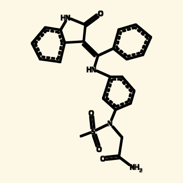 CS(=O)(=O)N(CC(N)=O)c1cccc(NC(=C2C(=O)Nc3ccccc32)c2ccccc2)c1